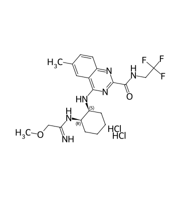 COCC(=N)N[C@@H]1CCCC[C@@H]1Nc1nc(C(=O)NCC(F)(F)F)nc2ccc(C)cc12.Cl.Cl